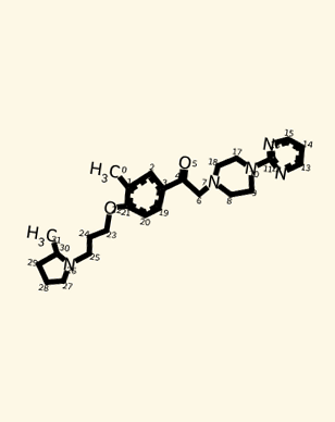 Cc1cc(C(=O)CN2CCN(c3ncccn3)CC2)ccc1OCCCN1CCCC1C